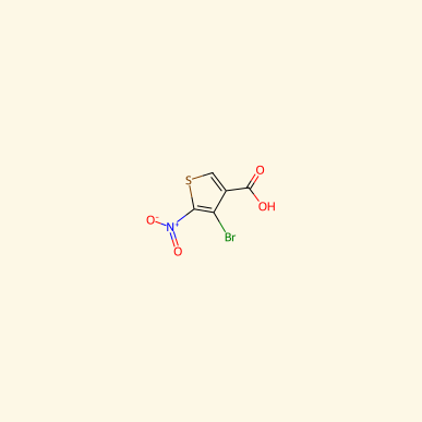 O=C(O)c1csc([N+](=O)[O-])c1Br